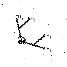 CCCCCCCCCCC(CCCCCCCC)CCCCCCOC(=O)c1ccccc1C(=O)OCCCCCCC(CCCCCCCC)CCCCCCCCCC